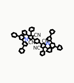 N#Cc1c(-c2ccc(-c3c(C#N)c(-c4ccccc4)c(-c4ccccc4)c(-n4c5ccc(-c6ccccc6)cc5c5cc(-c6ccccc6)ccc54)c3C#N)cc2)c(C#N)c(-n2c3ccc(-c4ccccc4)cc3c3cc(-c4ccccc4)ccc32)c(-c2ccccc2)c1-c1ccccc1